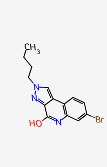 CCCCn1cc2c(n1)c(O)nc1cc(Br)ccc12